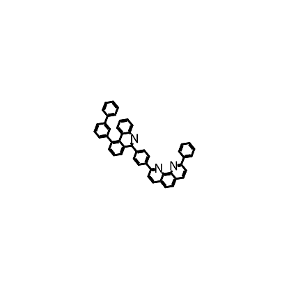 c1ccc(-c2cccc(-c3cccc4c(-c5ccc(-c6ccc7ccc8ccc(-c9ccccc9)nc8c7n6)cc5)nc5ccccc5c34)c2)cc1